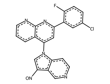 O=Nc1cn(-c2cc(-c3cc(Cl)ccc3F)nc3ncccc23)c2ccncc12